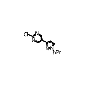 CCCn1ccc(-c2cnc(Cl)nc2)n1